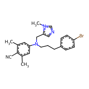 Cc1cc(N(CCCc2ccc(Br)cc2)Cc2cncn2C)cc(C)c1C#N